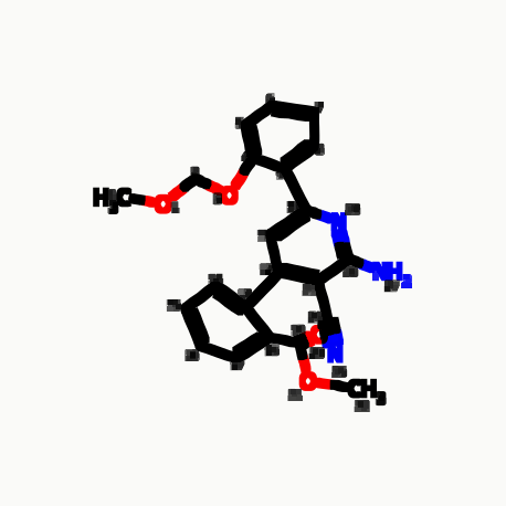 COCOc1ccccc1-c1cc(-c2ccccc2C(=O)OC)c(C#N)c(N)n1